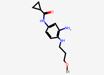 CCOCCCNc1ccc(NC(=O)C2CC2)cc1N